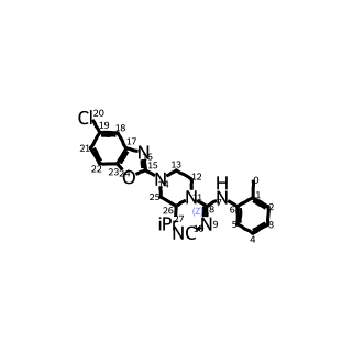 Cc1ccccc1N/C(=N/C#N)N1CCN(c2nc3cc(Cl)ccc3o2)CC1C(C)C